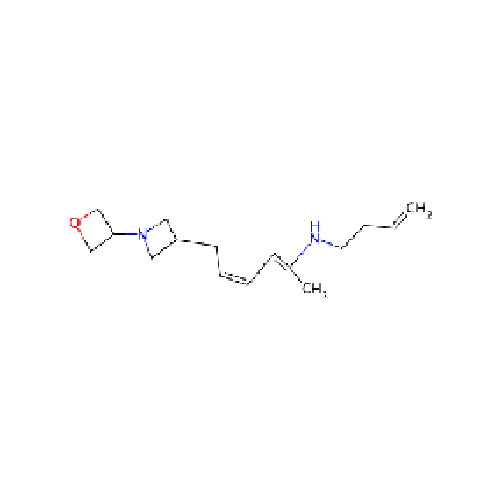 C=CCCN/C(C)=C/C=C\CC1CN(C2COC2)C1